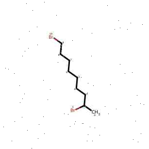 CC(Br)CCCCCCCBr